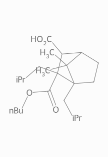 CCCCOC(=O)C1(CC(C)C)C(C(=O)O)C2CCC1(CC(C)C)C2(C)C